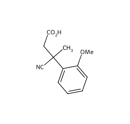 COc1ccccc1C(C)(C#N)CC(=O)O